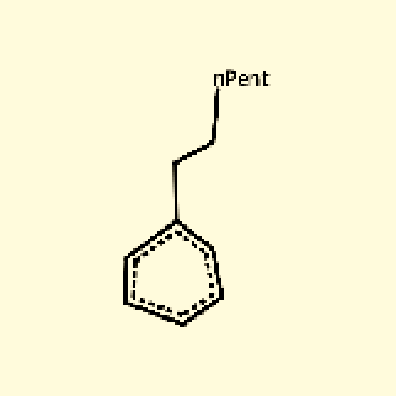 CC[CH]CCCCc1ccccc1